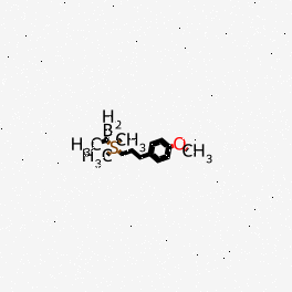 BC(C)S(C)(C)CCCc1ccc(OC)cc1